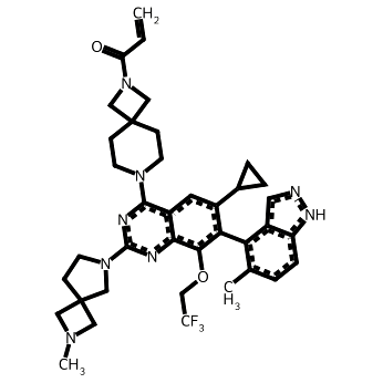 C=CC(=O)N1CC2(CCN(c3nc(N4CCC5(CN(C)C5)C4)nc4c(OCC(F)(F)F)c(-c5c(C)ccc6[nH]ncc56)c(C5CC5)cc34)CC2)C1